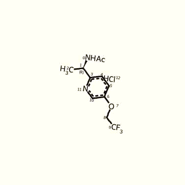 CC(=O)N[C@H](C)c1ccc(OCC(F)(F)F)cn1.Cl